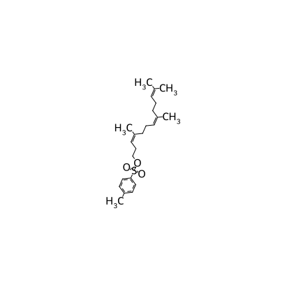 CC(C)=CCCC(C)=CCCC(C)=CCCOS(=O)(=O)c1ccc(C)cc1